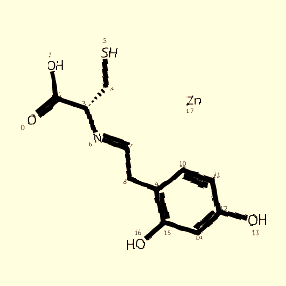 O=C(O)[C@H](CS)N=CCc1ccc(O)cc1O.[Zn]